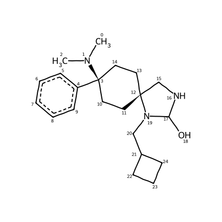 CN(C)[C@]1(c2ccccc2)CC[C@@]2(CC1)CNC(O)N2CC1CCC1